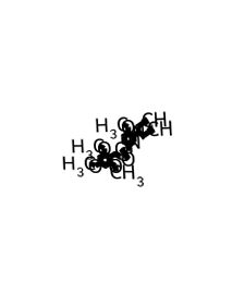 C#CCN(CC#C)c1nc(CS(=O)(=O)C=Cc2c(OC)cc(OC)cc2OC)ccc1OC